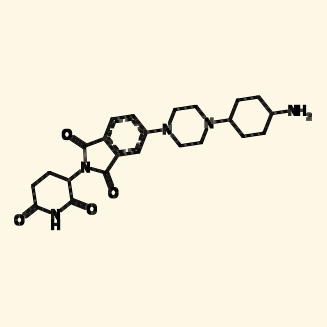 NC1CCC(N2CCN(c3ccc4c(c3)C(=O)N(C3CCC(=O)NC3=O)C4=O)CC2)CC1